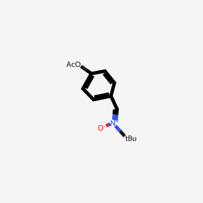 CC(=O)Oc1ccc(C=[N+]([O-])C(C)(C)C)cc1